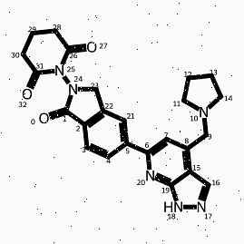 O=C1c2ccc(-c3cc(CN4CCCC4)c4cn[nH]c4n3)cc2CN1N1C(=O)CCCC1=O